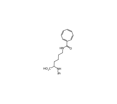 CC(C)NC(CCCCNC(=O)C1=C/C=C\C=C/C=C\1)C(=O)O